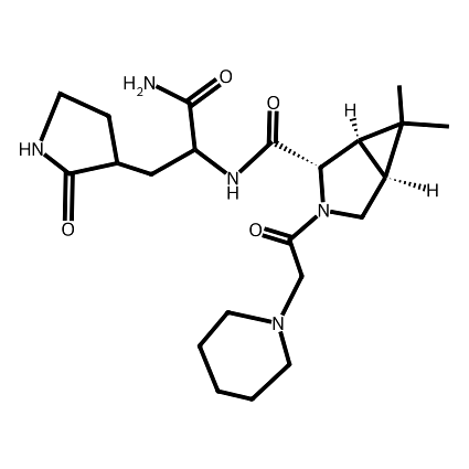 CC1(C)[C@@H]2[C@@H](C(=O)NC(CC3CCNC3=O)C(N)=O)N(C(=O)CN3CCCCC3)C[C@@H]21